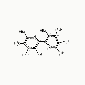 Cc1[c]([RaH])nc(-c2n[c]([RaH])c(C)[c]([RaH])[c]2[RaH])[c]([RaH])[c]1[RaH]